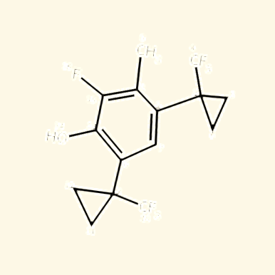 Cc1c(C2(C(F)(F)F)CC2)cc(C2(C(F)(F)F)CC2)c(O)c1F